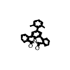 Cc1cccc(C)c1-c1cc2c3ccccc3c(=O)n3c(=O)c4ccccc4c(c1)c23